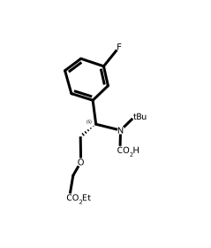 CCOC(=O)COC[C@H](c1cccc(F)c1)N(C(=O)O)C(C)(C)C